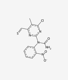 Cc1c(Cl)nc(N(C(N)=O)c2ccccc2[N+](=O)[O-])nc1C=S